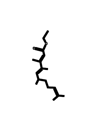 CCOC(=O)/C=C(C)/C(C)=C/C(C)CCC=C(C)C